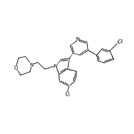 Clc1cccc(-c2cncc(-c3cn(CCN4CCOCC4)c4cc(Cl)ccc34)c2)c1